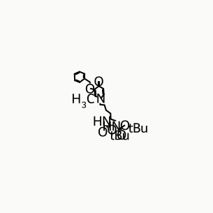 Cc1c(OCc2ccccc2)c(=O)ccn1CCCCC(CNC(=O)OC(C)(C)C)NC(=O)OC(C)(C)C